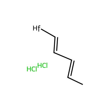 CC=CC=[CH][Hf].Cl.Cl